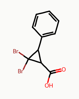 O=C(O)C1C(c2ccccc2)C1(Br)Br